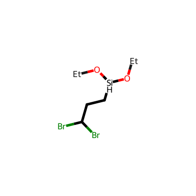 CCO[SiH](CCC(Br)Br)OCC